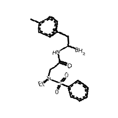 BC(Cc1ccc(C)cc1)NC(=O)CN(CC)S(=O)(=O)c1ccccc1